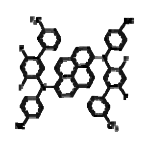 [C-]#[N+]c1ccc(N(c2cc(-c3cccc(C(F)(F)F)c3)c(F)cc2F)c2ccc3ccc4c(N(c5ccc(C#N)cc5)c5cc(-c6cccc(C(F)(F)F)c6)c(F)cc5F)ccc5ccc2c3c54)cc1